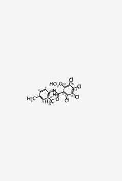 Cc1ccc(NC(=O)c2c(Cl)c(Cl)c(Cl)c(Cl)c2C(=O)O)c(C)c1